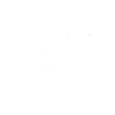 CC(C)OC(=O)/C=C/CCC(C)OC1OC(C)C(O[Si](c2ccccc2)(c2ccccc2)C(C)(C)C)CC1OC(=O)c1ccccc1